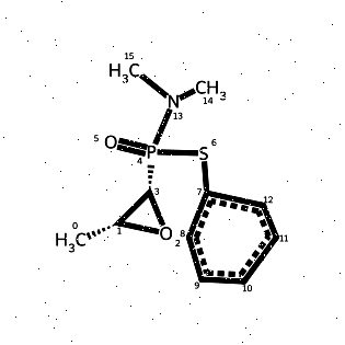 C[C@H]1O[C@H]1P(=O)(Sc1ccccc1)N(C)C